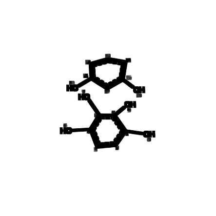 Oc1ccc(O)c(O)c1O.Oc1cccc(O)c1